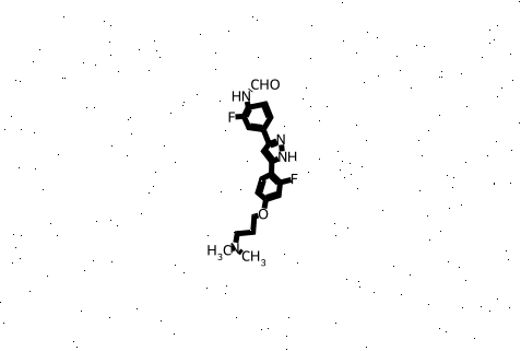 CN(C)CCCOc1ccc(-c2cc(-c3ccc(NC=O)c(F)c3)n[nH]2)c(F)c1